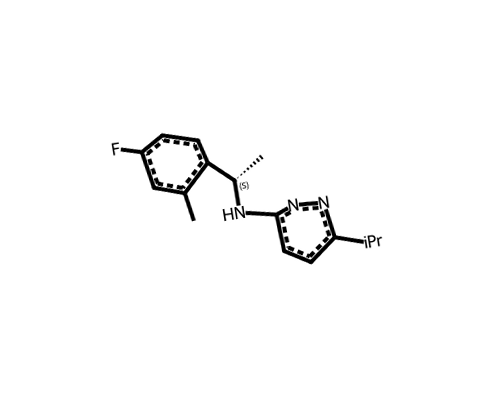 Cc1cc(F)ccc1[C@H](C)Nc1ccc(C(C)C)nn1